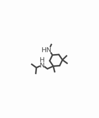 CNC1CC(C)(C)CC(C)(CNC(C)C)C1